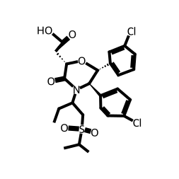 CCC(CS(=O)(=O)C(C)C)N1C(=O)[C@H](CC(=O)O)O[C@H](c2cccc(Cl)c2)[C@H]1c1ccc(Cl)cc1